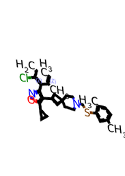 C=C/C(Cl)=C(\C(C)=C/C)c1noc(C2CC2)c1C1=CC2(CCN(CSc3cc(C)ccc3C)CC2)C1